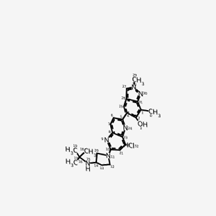 Cc1c(O)c(-c2ccc3nc(N4CCC(NC(C)(C)C)C4)ccc3n2)cc2cn(C)nc12.Cl